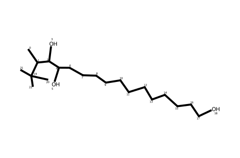 CC(C(O)C(O)CCCCCCCCCCCCO)C(C)(C)C